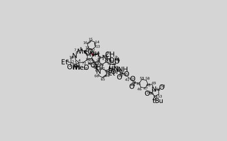 CC[C@]1(O)C[C@@H]2CN(CCC3=C(NC4C=CC=CC34)[C@@](C(=O)OC)(c3cc4c(cc3OC)N(C)[C@H]3[C@@](O)(C(=O)NNC(=O)OCOC(=O)C5CCC(CN6C(=O)CC(C(C)(C)C)C6=O)CC5)[C@H](O)[C@]5(CC)C=CCN6CC[C@]43[C@@H]65)C2)C1